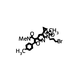 CNC(=O)c1c(-c2ccc(C)cc2)oc2nc(N(CCCBr)S(C)(=O)=O)c(C3CC3)cc12